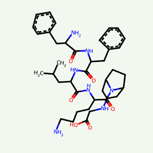 CC(C)CC(NC(=O)C(Cc1ccccc1)NC(=O)C(N)Cc1ccccc1)C(=O)NC(CCCCN)C(=O)N1C2CCC1CC(NCC(=O)O)C2